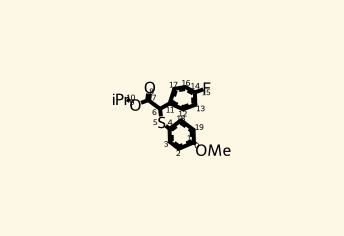 COc1ccc(SC(C(=O)OC(C)C)c2ccc(F)cc2)cc1